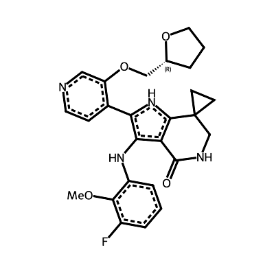 COc1c(F)cccc1Nc1c(-c2ccncc2OC[C@H]2CCCO2)[nH]c2c1C(=O)NCC21CC1